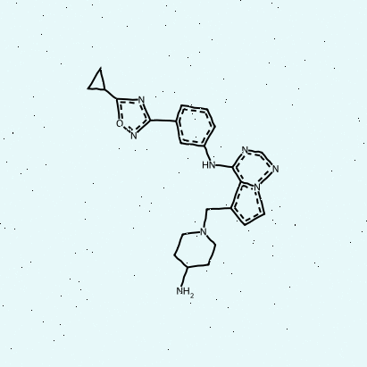 NC1CCN(Cc2ccn3ncnc(Nc4cccc(-c5noc(C6CC6)n5)c4)c23)CC1